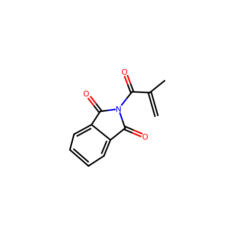 C=C(C)C(=O)N1C(=O)c2ccccc2C1=O